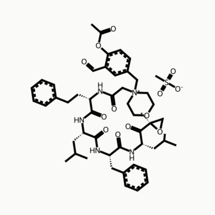 CC(=O)Oc1ccc(C[N+]2(CC(=O)N[C@@H](CCc3ccccc3)C(=O)N[C@@H](CC(C)C)C(=O)N[C@@H](Cc3ccccc3)C(=O)N[C@@H](CC(C)C)C(=O)[C@@]3(C)CO3)CCOCC2)cc1C=O.CS(=O)(=O)[O-]